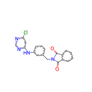 O=C1c2ccccc2C(=O)N1Cc1cccc(Nc2cc(Cl)ncn2)c1